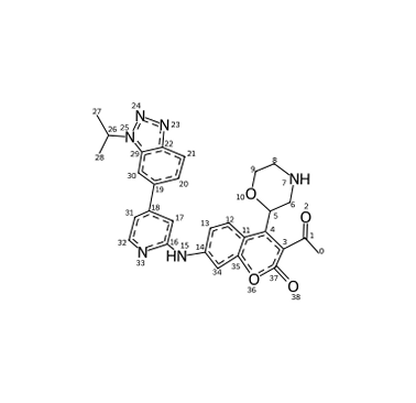 CC(=O)c1c(C2CNCCO2)c2ccc(Nc3cc(-c4ccc5nnn(C(C)C)c5c4)ccn3)cc2oc1=O